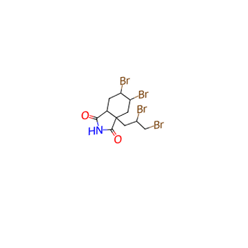 O=C1NC(=O)C2(CC(Br)CBr)CC(Br)C(Br)CC12